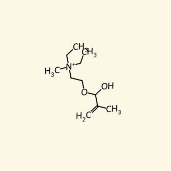 C=C(C)C(O)OCC[N+](C)(CC)CC